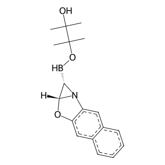 CC(C)(O)C(C)(C)OB[C@H]1[C@H]2Oc3cc4ccccc4cc3N21